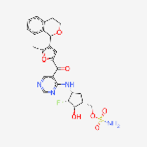 Cc1oc(C(=O)c2cncnc2N[C@@H]2C[C@H](COS(N)(=O)=O)[C@@H](O)[C@@H]2F)cc1C1OCCc2ccccc21